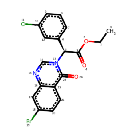 CCOC(=O)[C@H](c1cccc(Cl)c1)n1cnc2cc(Br)ccc2c1=O